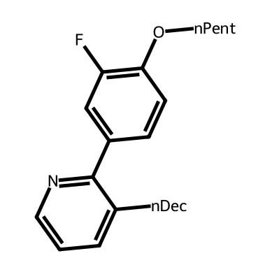 CCCCCCCCCCc1cccnc1-c1ccc(OCCCCC)c(F)c1